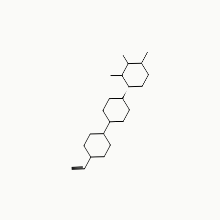 C=CC1CCC(C2CCC([C@@H]3CCC(C)C(F)C3F)CC2)CC1